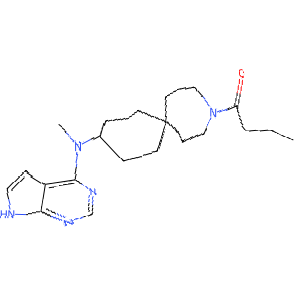 CCCC(=O)N1CCC2(CCC(N(C)c3ncnc4[nH]ccc34)CC2)CC1